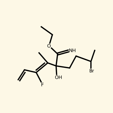 C=C/C(F)=C(\C)C(O)(CCC(C)Br)C(=N)OCC